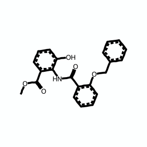 COC(=O)c1cccc(O)c1NC(=O)c1ccccc1OCc1ccccc1